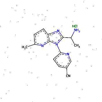 Cc1ccc2nc(C(C)N)n(-c3ccc(C#N)cn3)c2n1.Cl